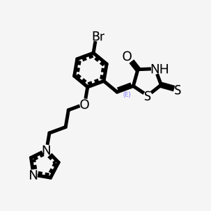 O=C1NC(=S)S/C1=C/c1cc(Br)ccc1OCCCn1ccnc1